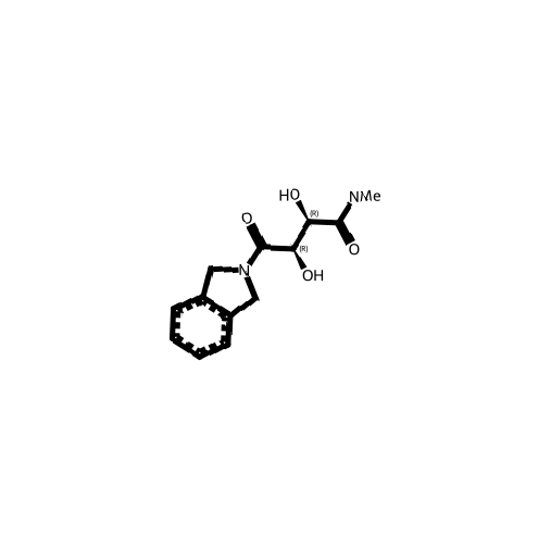 CNC(=O)[C@H](O)[C@@H](O)C(=O)N1Cc2ccccc2C1